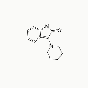 O=C1N=c2ccccc2=C1N1CCCCC1